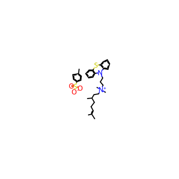 CC(C)=CCCC(C)CC[N+](C)(C)CCCN1c2ccccc2Sc2ccccc21.Cc1ccc(S(=O)(=O)[O-])cc1